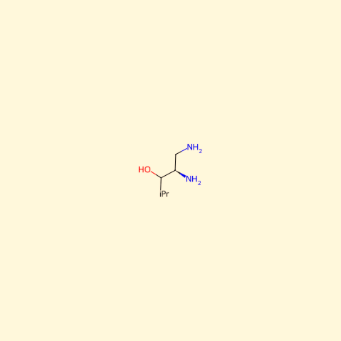 CC(C)C(O)[C@H](N)CN